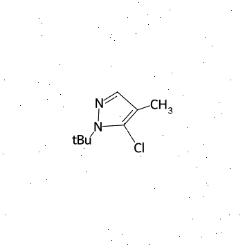 Cc1cnn(C(C)(C)C)c1Cl